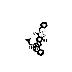 O=C(NCc1ccccc1)c1cc2c([nH]c1=O)CC13CCN(CC4CC4)[C@H](Cc4ccccc41)[C@H]3C2